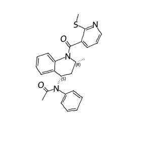 CSc1ncccc1C(=O)N1c2ccccc2[C@@H](N(C(C)=O)c2ccccc2)C[C@H]1C